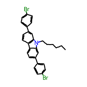 CCCCCCn1c2cc(-c3ccc(Br)cc3)ccc2c2ccc(-c3ccc(Br)cc3)cc21